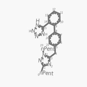 CCCCCc1nc(Cc2ccc(-c3ccccc3-c3nnn[nH]3)cc2)n(CCCCC)n1